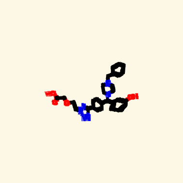 O=C(O)COCCn1nnc(-c2ccc([C@@H](c3cccc(O)c3)N3CCN(Cc4ccccc4)CC3)cc2)n1